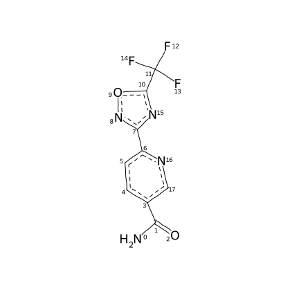 NC(=O)c1ccc(-c2noc(C(F)(F)F)n2)nc1